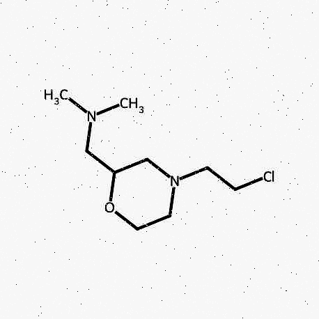 CN(C)CC1CN(CCCl)CCO1